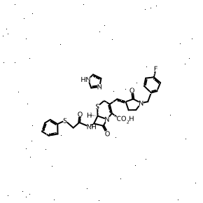 O=C(CSc1ccccc1)N[C@@H]1C(=O)N2C(C(=O)O)=C(C=C3CCN(Cc4ccc(F)cc4)C3=O)CS[C@H]12.c1c[nH]cn1